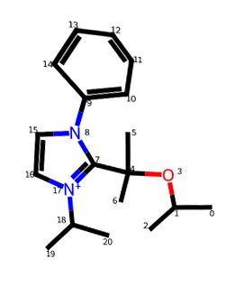 CC(C)OC(C)(C)c1n(-c2ccccc2)cc[n+]1C(C)C